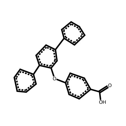 O=C(O)c1ccc(Oc2cc(-c3ccccc3)ccc2-c2ccccc2)cc1